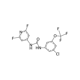 O=C(Nc1cc(Cl)cc(OC(F)(F)F)c1)Nc1cc(F)nc(F)c1